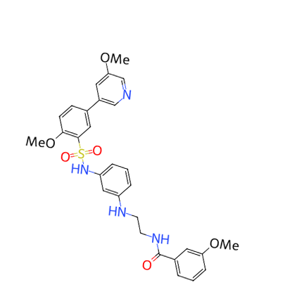 COc1cccc(C(=O)NCCNc2cccc(NS(=O)(=O)c3cc(-c4cncc(OC)c4)ccc3OC)c2)c1